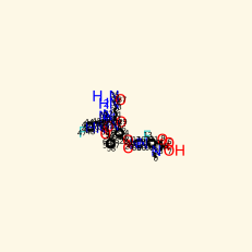 CCN1C=C(C(=O)O)C(=O)C2C=C(F)C(N3CCN(C(=O)OCc4ccc(NC(=O)C(CCCNC(N)=O)n5cc([C@H](Cc6ccc(F)cc6)NC(=O)OCc6ccccc6)nn5)cc4)CC3)=CC21